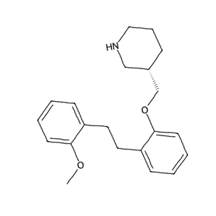 COc1ccccc1CCc1ccccc1OC[C@H]1CCCNC1